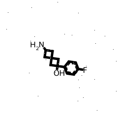 NC1CC2(C1)CC(O)(c1ccc(F)cc1)C2